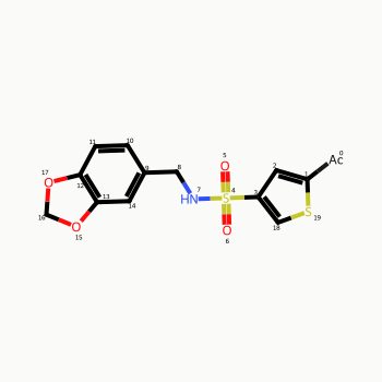 CC(=O)c1cc(S(=O)(=O)NCc2ccc3c(c2)OCO3)cs1